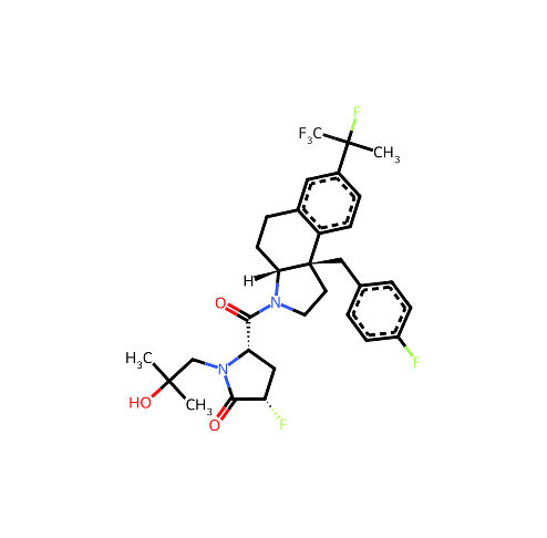 CC(C)(O)CN1C(=O)[C@@H](F)C[C@H]1C(=O)N1CC[C@@]2(Cc3ccc(F)cc3)c3ccc(C(C)(F)C(F)(F)F)cc3CC[C@@H]12